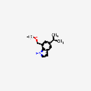 COCc1cc(C(C)C)cc2cc[nH]c12